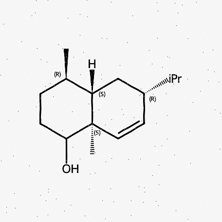 CC(C)[C@@H]1C=C[C@@]2(C)C(O)CC[C@@H](C)[C@@H]2C1